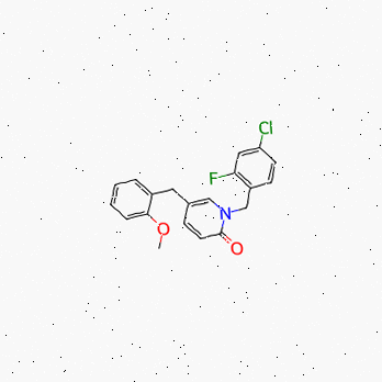 COc1ccccc1Cc1ccc(=O)n(Cc2ccc(Cl)cc2F)c1